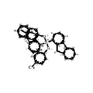 Clc1ccc([O][Zr]([O]c2ccc(Cl)cc2)([c]2cccc3c2Cc2ccccc2-3)[c]2cccc3c2Cc2ccccc2-3)cc1